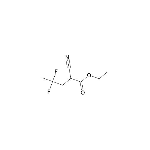 CCOC(=O)C(C#N)CC(C)(F)F